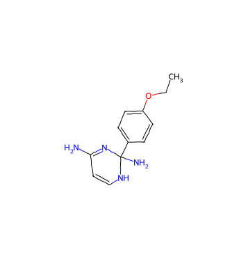 CCOc1ccc(C2(N)N=C(N)C=CN2)cc1